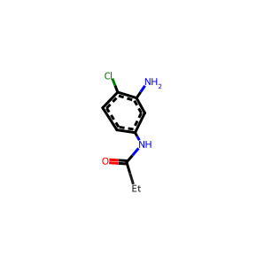 CCC(=O)Nc1ccc(Cl)c(N)c1